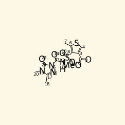 COC(=O)c1csc(C)c1S(=O)(=O)NC(=O)n1nc(C)n(C)c1=O